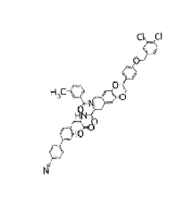 Cc1cccc(C(=O)N2Cc3cc4c(cc3C[C@H]2C(=O)NC(Cc2ccc(-c3ccc(C#N)cc3)cc2)C(=O)O)OC[C@H](c2ccc(OCc3ccc(Cl)c(Cl)c3)cc2)O4)c1